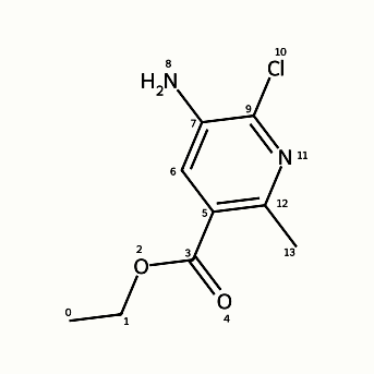 CCOC(=O)c1cc(N)c(Cl)nc1C